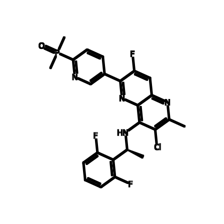 Cc1nc2cc(F)c(-c3ccc(P(C)(C)=O)nc3)nc2c(N[C@@H](C)c2c(F)cccc2F)c1Cl